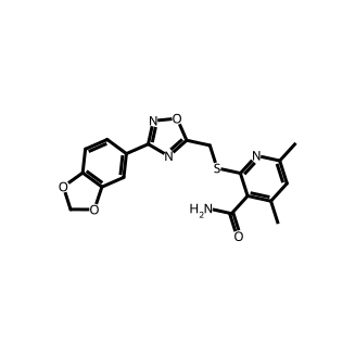 Cc1cc(C)c(C(N)=O)c(SCc2nc(-c3ccc4c(c3)OCO4)no2)n1